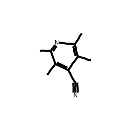 Cc1nc(C)c(C)c(C#N)c1C